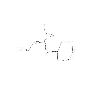 N=C/C=C(\NC1CCCCO1)S(=O)O